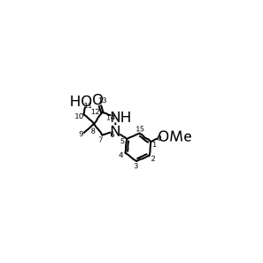 COc1cccc(N2CC(C)(CO)C(=O)N2)c1